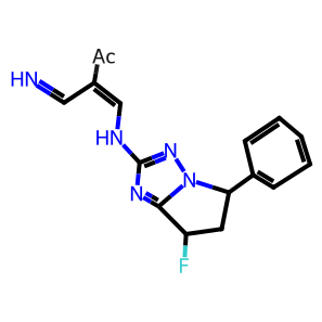 CC(=O)/C(C=N)=C/Nc1nc2n(n1)C(c1ccccc1)CC2F